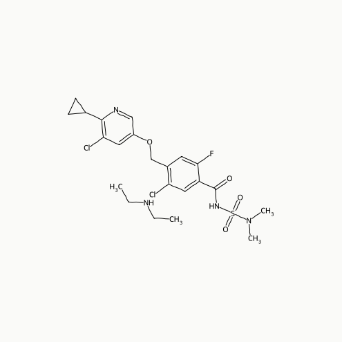 CCNCC.CN(C)S(=O)(=O)NC(=O)c1cc(Cl)c(COc2cnc(C3CC3)c(Cl)c2)cc1F